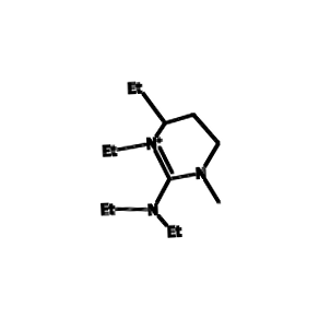 CCC1CCN(C)C(N(CC)CC)=[N+]1CC